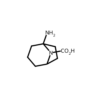 NC12CCCC(CC1)N2C(=O)O